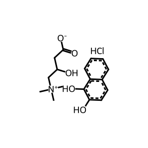 C[N+](C)(C)CC(O)CC(=O)[O-].Cl.Oc1ccc2ccccc2c1O